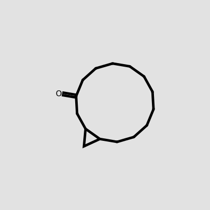 O=C1CCCCCCCCCCC2CC2C1